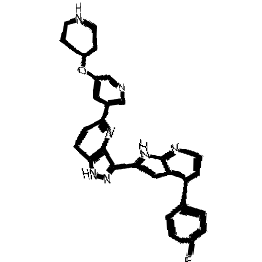 Fc1ccc(-c2ccnc3[nH]c(-c4n[nH]c5ccc(-c6cncc(OC7CCNCC7)c6)nc45)cc23)cc1